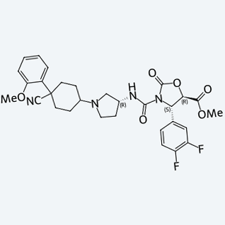 COC(=O)[C@@H]1OC(=O)N(C(=O)N[C@@H]2CCN(C3CCC(C#N)(c4ccccc4OC)CC3)C2)[C@H]1c1ccc(F)c(F)c1